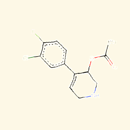 CC(C)(C)C(=O)OC1CNCC=C1c1ccc(F)c(Cl)c1